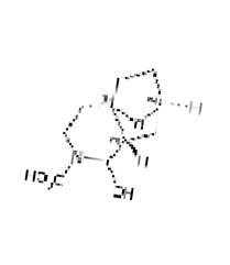 O=C(O)N1CC[C@@]23CC[C@@H](C[C@@H]2C1O)O3